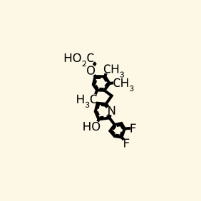 Cc1cc(OCC(=O)O)c(C)c(C)c1Cc1ccc(O)c(-c2ccc(F)c(F)c2)n1